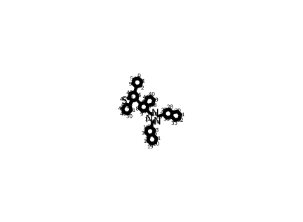 c1ccc(-c2cc(-c3ccc(-c4nc(-c5ccc6ccccc6c5)nc(-c5ccc6ccccc6c5)n4)c4ccccc34)c3c(c2)sc2ccccc23)cc1